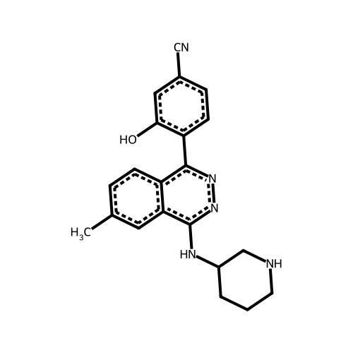 Cc1ccc2c(-c3ccc(C#N)cc3O)nnc(NC3CCCNC3)c2c1